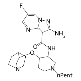 CCCCCN1CCC(OC2CN3CCC2CC3)C(NC(=O)c2c(N)nn3cc(F)cnc23)C1